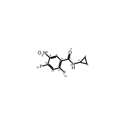 O=C(NC1CC1)c1cc([N+](=O)[O-])c(F)cc1F